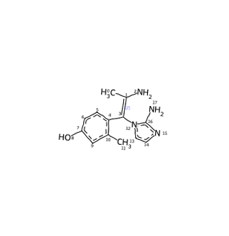 C/C(N)=C(\c1ccc(O)cc1C)n1ccnc1N